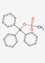 CS(=O)(=O)O[Si](c1ccccc1)(c1ccccc1)c1ccccc1